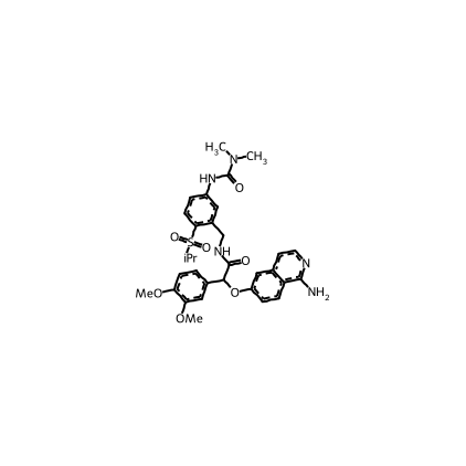 COc1ccc(C(Oc2ccc3c(N)nccc3c2)C(=O)NCc2cc(NC(=O)N(C)C)ccc2S(=O)(=O)C(C)C)cc1OC